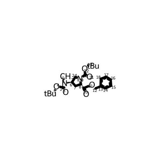 CN(C(=O)OC(C)(C)C)[C@@H]1C[C@@H](C(=O)OCc2ccccc2)N(C(=O)OC(C)(C)C)C1